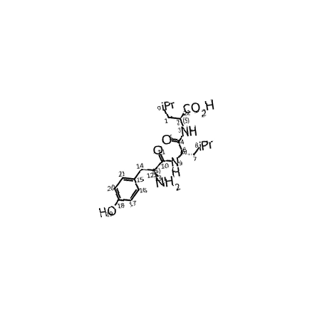 CC(C)C[C@H](NC(=O)[C@H](CC(C)C)NC(=O)[C@@H](N)Cc1ccc(O)cc1)C(=O)O